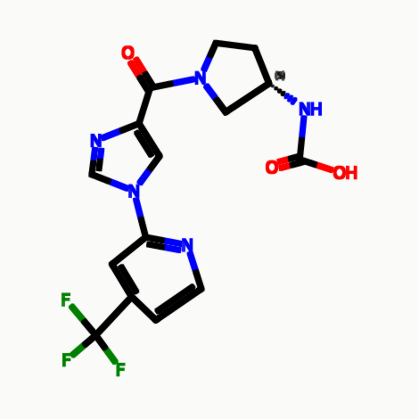 O=C(O)N[C@H]1CCN(C(=O)c2cn(-c3cc(C(F)(F)F)ccn3)cn2)C1